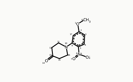 COc1ccc([N+](=O)[O-])c(N2CCC(=O)CC2)c1